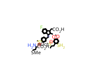 CC1=C(CC(=O)O)c2cc(F)ccc2/C1=C\c1ccc([S+](C)[O-])cc1.CCCCCCCC[S+]([O-])C(C)Cc1ccc2c(c1)OCO2.CSCC[C@H](N)C(=O)O.S